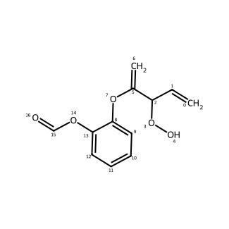 C=CC(OO)C(=C)Oc1ccccc1OC=O